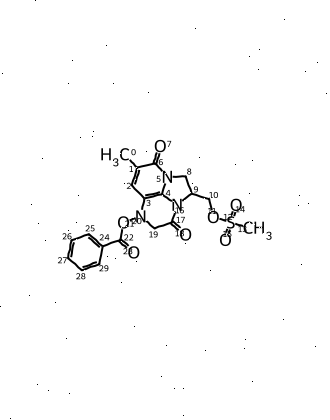 Cc1cc2c3n(c1=O)CC(COS(C)(=O)=O)N3C(=O)CN2OC(=O)c1ccccc1